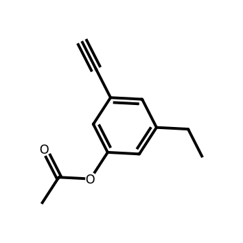 C#Cc1cc(CC)cc(OC(C)=O)c1